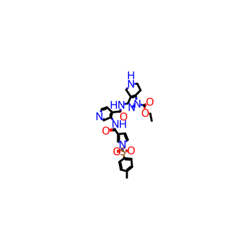 CCOC(=O)n1nc(NC(=O)c2ccncc2NC(=O)c2ccn(S(=O)(=O)c3ccc(C)cc3)c2)c2c1CCNC2